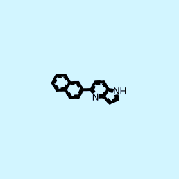 c1ccc2cc(-c3ccc4[nH]ccc4n3)ccc2c1